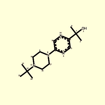 CC(C)(O)c1cnc(N2CCN(C(C)(C)C)CC2)cn1